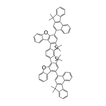 CC1(C)c2ccccc2-c2c1cc(-c1cc3c(c4c1oc1ccccc14)-c1ccc4c(c1[Si]3(C)C)[Si](C)(C)c1cc(-c3cc5c(c6ccccc36)-c3ccccc3C5(C)C)c3c(oc5ccccc53)c1-4)c1ccccc21